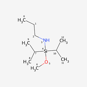 CCCN[Si](OC)(C(C)C)C(C)C